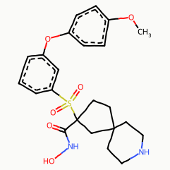 COc1ccc(Oc2cccc(S(=O)(=O)C3(C(=O)NO)CCC4(CCNCC4)C3)c2)cc1